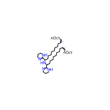 CCCCCCCC/C=C\CCCCCCCCC(NC(CCCCCCCC/C=C\CCCCCCCC)C1=NCCCN1)C1=NCCCN1